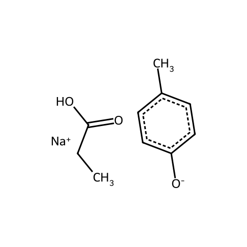 CCC(=O)O.Cc1ccc([O-])cc1.[Na+]